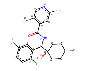 O=C(NC(c1cc(Cl)ccc1F)[C@]1(O)CC[C@H](F)CC1)c1cc(C(F)(F)F)ncc1Cl